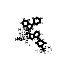 CC1=Cc2c(-c3ccc(C(C)(C)C)cc3)cccc2[CH]1[Zr]([CH3])([CH3])(=[SiH2])[CH]1C=C(c2ccccc2)c2ccccc21.Cl.Cl